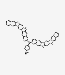 CC(C)c1ccc(N(c2ccc3cc4c(cc3c2)sc2cc3sc5cc6ccccc6cc5c3cc24)c2ccc3cc4c(cc3c2)sc2cc3sc5cc6ccccc6cc5c3cc24)cc1